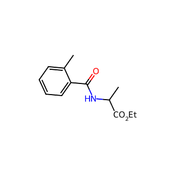 CCOC(=O)C(C)NC(=O)c1ccccc1C